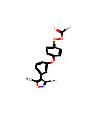 CCCC(=O)OSc1ccc(Oc2cccc(-c3c(C)noc3C)c2)cc1